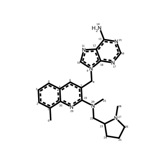 Cc1cccc2cc(Cn3cnc4c(N)ncnc43)c(N(C)CC3CCCN3C)nc12